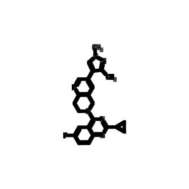 Cc1nn(C)cc1-c1cnc2c(c1)CN(c1nc(C3CC3)nc3ccc(F)cc13)CC2